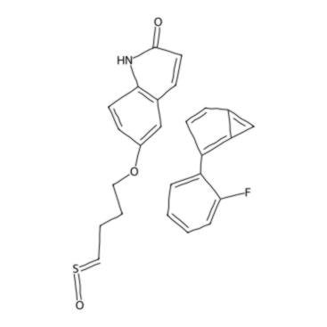 Fc1ccccc1-c1ccc2cc1-2.O=S=CCCCOc1ccc2[nH]c(=O)ccc2c1